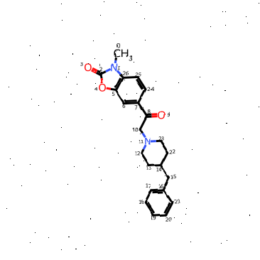 Cn1c(=O)oc2cc(C(=O)CN3CCC(Cc4ccccc4)CC3)ccc21